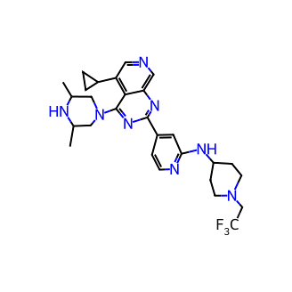 CC1CN(c2nc(-c3ccnc(NC4CCN(CC(F)(F)F)CC4)c3)nc3cncc(C4CC4)c23)CC(C)N1